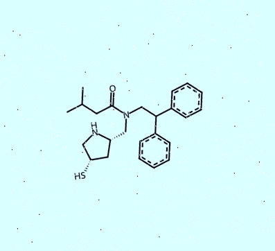 CC(C)CC(=O)N(CC(c1ccccc1)c1ccccc1)C[C@@H]1C[C@H](S)CN1